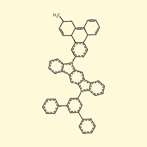 CC1C=CC2C(=C3C=CC=CC3c3ccc(-n4c5ccccc5c5cc6c(cc54)c4ccccc4n6-c4cc(-c5ccccc5)cc(-c5ccccc5)c4)cc32)C1